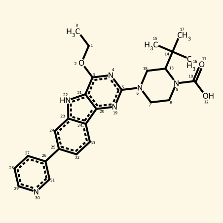 CCOc1nc(N2CCN(C(=O)O)C(C(C)(C)C)C2)nc2c1[nH]c1cc(-c3cccnc3)ccc12